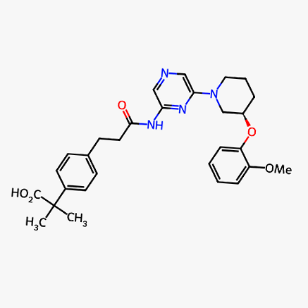 COc1ccccc1O[C@@H]1CCCN(c2cncc(NC(=O)CCc3ccc(C(C)(C)C(=O)O)cc3)n2)C1